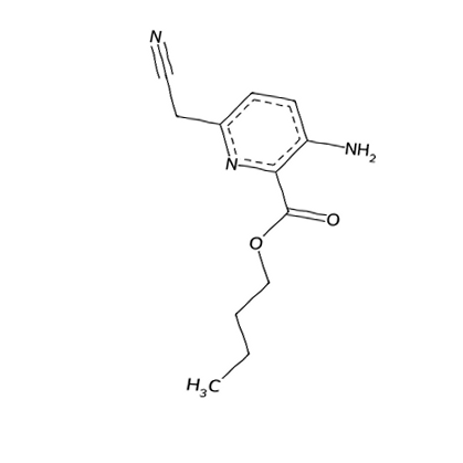 CCCCOC(=O)c1nc(CC#N)ccc1N